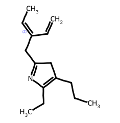 C=C/C(=C\C)CC1=NC(CC)=C(CCC)C1